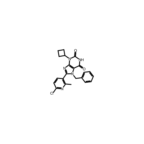 Cc1nc(Cl)ccc1-c1nc2c(c(=O)[nH]c(=O)n2C2CCC2)n1Cc1ccccc1